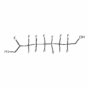 OCC(F)C(F)(F)C(F)(F)C(F)(F)C(F)(F)C(F)(F)C(F)(F)CO